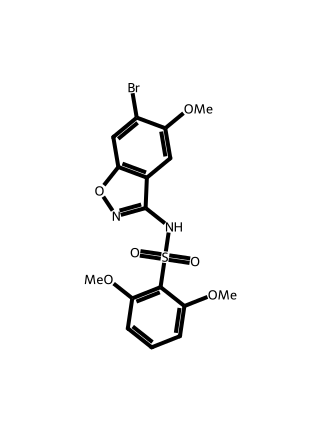 COc1cc2c(NS(=O)(=O)c3c(OC)cccc3OC)noc2cc1Br